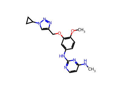 CNc1ccnc(Nc2ccc(OC)c(OCc3cn(C4CC4)nn3)c2)n1